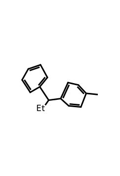 [CH2]CC(c1ccccc1)c1ccc(C)cc1